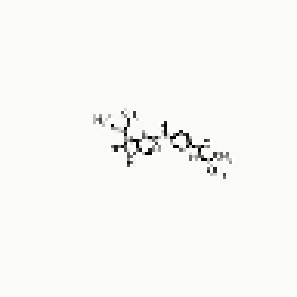 CCC(CC)n1c(=O)[nH]c2cnc(Nc3ccc(C(=O)NC(C)C)cc3)nc21